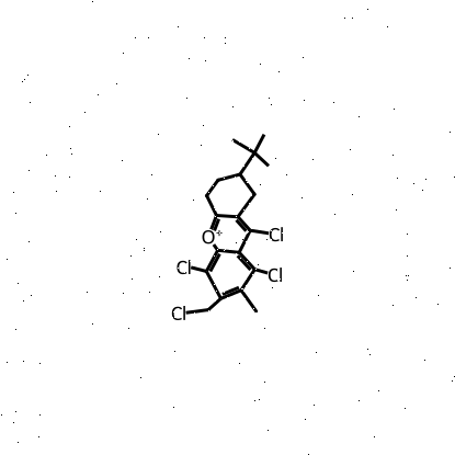 Cc1c(CCl)c(Cl)c2[o+]c3c(c(Cl)c2c1Cl)CC(C(C)(C)C)CC3